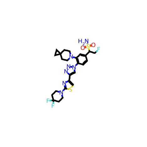 NS(=O)(=O)C(CF)c1ccc(-n2cc(-c3csc(N4CCC(F)(F)CC4)n3)nn2)c(N2CCC3(CC2)CC3)c1